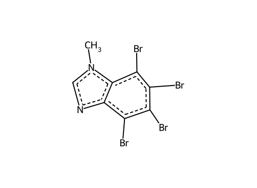 Cn1cnc2c(Br)c(Br)c(Br)c(Br)c21